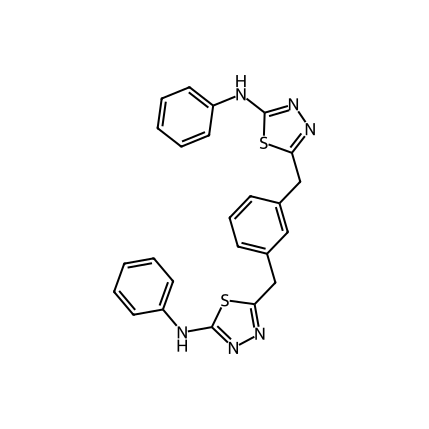 c1ccc(Nc2nnc(Cc3cccc(Cc4nnc(Nc5ccccc5)s4)c3)s2)cc1